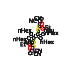 CCCCCCc1ccc(C2(c3ccc(CCCCCC)cc3)c3cc4c(cc3-c3sc(-c5sc(/C=C6\C(=O)c7ccccc7C6=C(C#N)C#N)cc5OCC(CC)CCCC)cc32)C(c2ccc(CCCCCC)cc2)(c2ccc(CCCCCC)cc2)c2cc(-c3sc(/C=C5\C(=O)c6ccccc6C5=C(C#N)C#N)cc3OCC(CC)CCCC)sc2-4)cc1